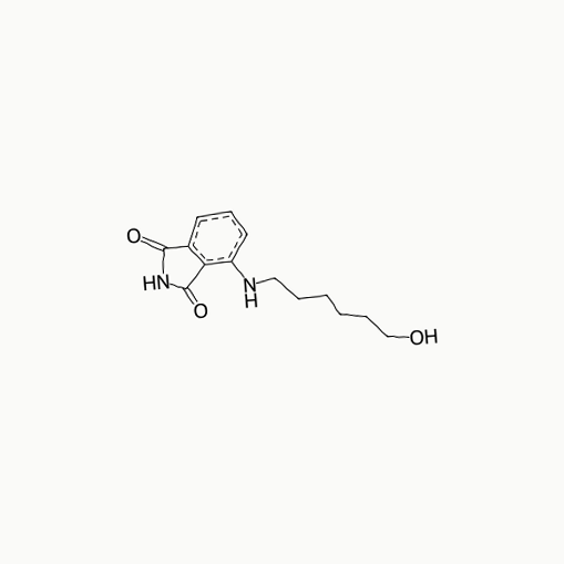 O=C1NC(=O)c2c(NCCCCCCO)cccc21